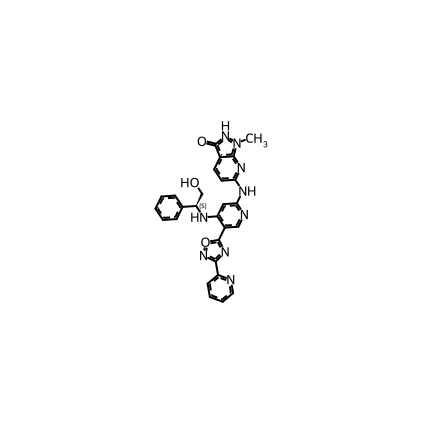 Cn1[nH]c(=O)c2ccc(Nc3cc(N[C@H](CO)c4ccccc4)c(-c4nc(-c5ccccn5)no4)cn3)nc21